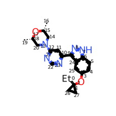 CCC1(Oc2ccc3[nH]nc(-c4cc(N5C[C@@H](C)O[C@@H](C)C5)ncn4)c3c2)CC1